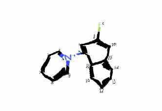 Fc1cc(-[n+]2ccccc2)c2ccccc2c1